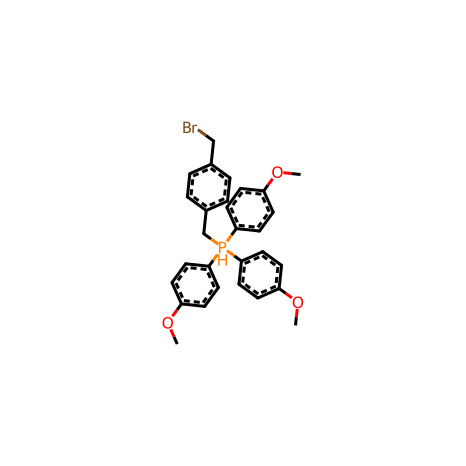 COc1ccc([PH](Cc2ccc(CBr)cc2)(c2ccc(OC)cc2)c2ccc(OC)cc2)cc1